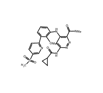 CNC(=O)c1nnc(NC(=O)C2CC2)cc1Nc1cccc(-c2ccc(S(C)(=O)=O)cn2)c1OC